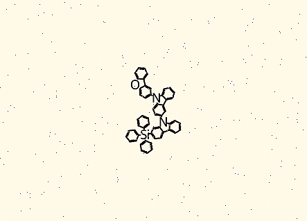 c1ccc([Si](c2ccccc2)(c2ccccc2)c2ccc3c4ccccc4n(-c4ccc5c(c4)c4ccccc4n5-c4ccc5oc6ccccc6c5c4)c3c2)cc1